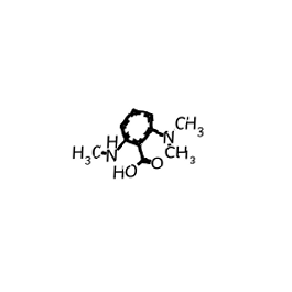 CNc1cccc(N(C)C)c1C(=O)O